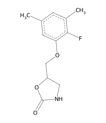 Cc1cc(C)c(F)c(OCC2CNC(=O)O2)c1